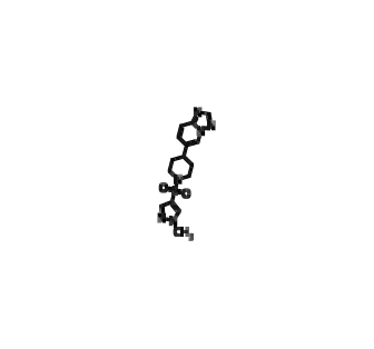 Cn1cc(S(=O)(=O)N2CCC(c3ccc4ncnn4c3)CC2)cn1